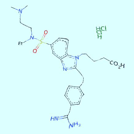 CCN(CCN(C)C)S(=O)(=O)c1ccc2c(c1)nc(Cc1ccc(C(=N)N)cc1)n2CCCC(=O)O.Cl.Cl